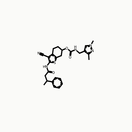 Cc1nn(C)cc1CNC(=O)OC1CCc2c(sc(NC(=O)CC(C)c3ccccc3)c2C#N)C1